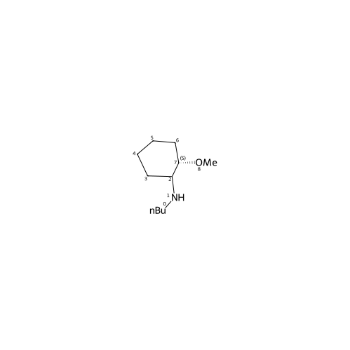 CCCCNC1CCCC[C@@H]1OC